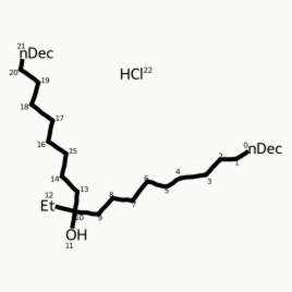 CCCCCCCCCCCCCCCCCCCC(O)(CC)CCCCCCCCCCCCCCCCCC.Cl